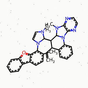 C=CC1c2ccccc2N2c3nccnc3N(C)C2C1C1N(C)C=CN1c1c(C)ccc2c1oc1ccccc12